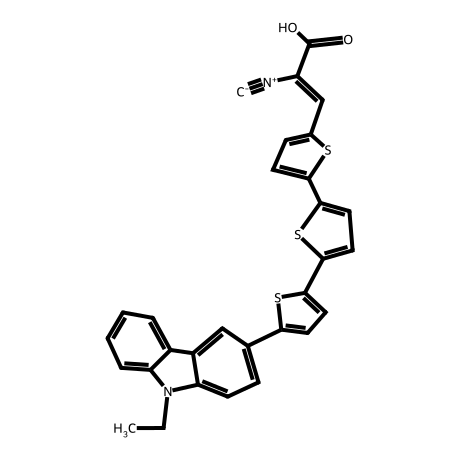 [C-]#[N+]/C(=C\c1ccc(-c2ccc(-c3ccc(-c4ccc5c(c4)c4ccccc4n5CC)s3)s2)s1)C(=O)O